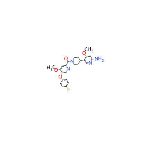 COc1cc(C(=O)N2CCC(c3cnc(N)cc3OC)CC2)ncc1Oc1ccc(F)cc1